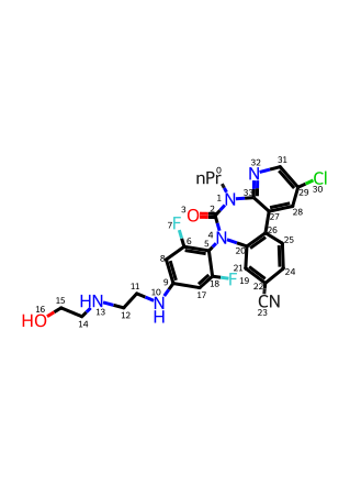 CCCN1C(=O)N(c2c(F)cc(NCCNCCO)cc2F)c2cc(C#N)ccc2-c2cc(Cl)cnc21